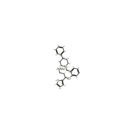 CNCCC(Oc1ccccc1CN1CCC(c2ccccc2)CC1)c1cccs1